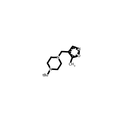 Cc1oncc1CN1CCN(C(C)(C)C)CC1